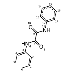 C/C=C\C(=C/C)NC(=O)C(=O)Nc1ccccc1